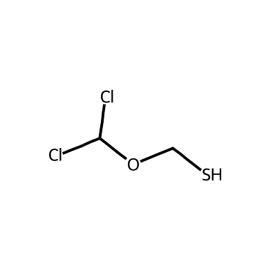 SCOC(Cl)Cl